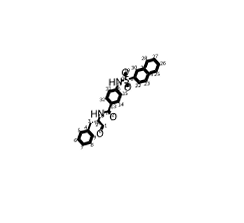 O=C[C@H](Cc1ccccc1)NC(=O)c1ccc(NS(=O)(=O)c2ccc3ccccc3c2)cc1